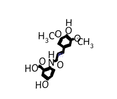 COc1cc(/C=C/C(=O)Nc2ccc(O)cc2C(=O)O)cc(OC)c1O